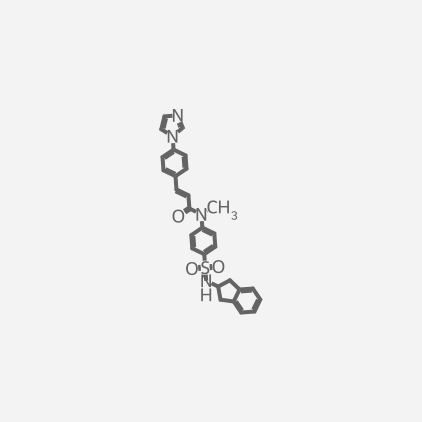 CN(C(=O)/C=C/c1ccc(-n2ccnc2)cc1)c1ccc(S(=O)(=O)NC2Cc3ccccc3C2)cc1